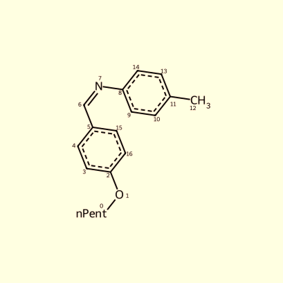 CCCCCOc1ccc(/C=N\c2ccc(C)cc2)cc1